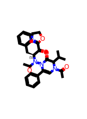 CC(=O)N1C=C(c2ccccc2)N(N(C(C)=O)[C@@H](Cc2ccccc2)C(=O)C2=NCCO2)C(=O)C1C(C)C